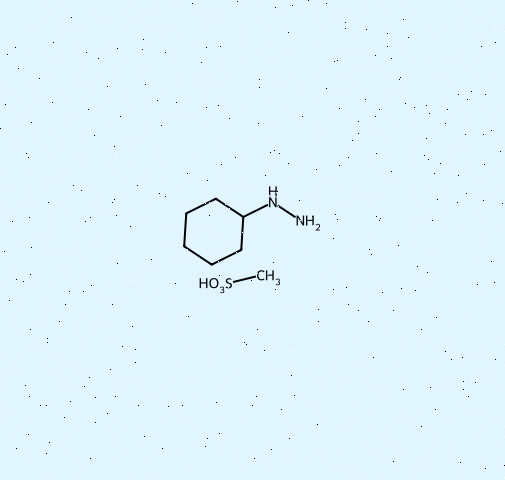 CS(=O)(=O)O.NNC1CCCCC1